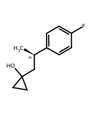 C[C@H](CC1(O)CC1)c1ccc(F)cc1